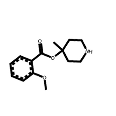 COc1ccccc1C(=O)OC1(C)CCNCC1